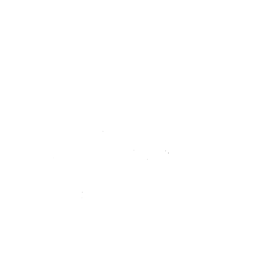 Clc1ccc(C2=NNC(c3ccc4nccnc4c3)C2)cc1